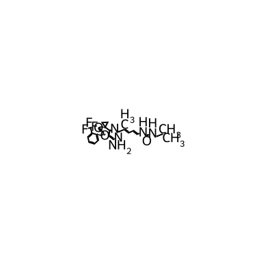 C/C(=C\C=C\NC(=O)NCC(C)C)c1nc(N)cc(C2(S(=O)(=O)c3ccccc3C(F)(F)F)CC2)n1